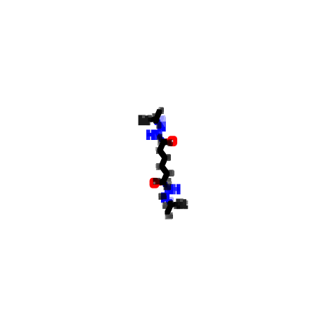 CC/C(C)=N\NC(=O)CCCCC(=O)N/N=C(/C)CC